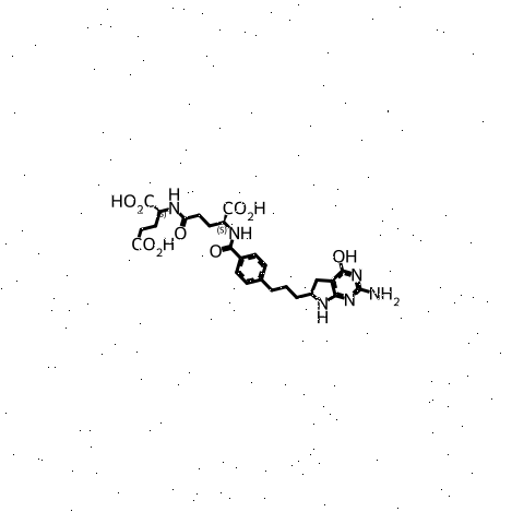 Nc1nc(O)c2c(n1)NC(CCCc1ccc(C(=O)N[C@@H](CCC(=O)N[C@@H](CCC(=O)O)C(=O)O)C(=O)O)cc1)C2